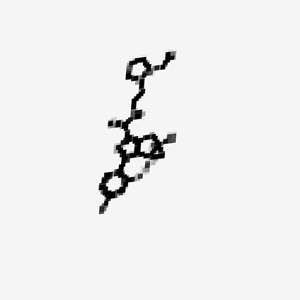 O=C(NCCN1CCC[C@@H]1CO)c1nn(-c2ccc(F)cc2F)c2c1C[C@H]1C[C@@H]21